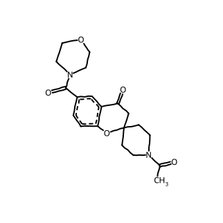 CC(=O)N1CCC2(CC1)CC(=O)c1cc(C(=O)N3CCOCC3)ccc1O2